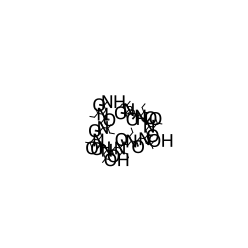 CCC(C)N(CC(=O)N(CC(=O)N(CC(=O)N(CC(=O)N(CC(=O)N(CC(=O)N(CC(=O)N(CC(=O)N(CC(=O)N(CC(N)=O)C(C)CC)C(C)CC)CC(C)O)CC(C)O)C(C)CC)C(C)CC)CC(C)O)CC(C)O)C(C)CC)C(C)=O